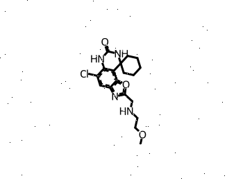 COCCNCc1nc2cc(Cl)c3c(c2o1)C1(CCCCC1)NC(=O)N3